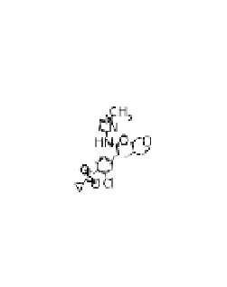 Cn1ccc(NC(=O)[C@H](CC2CCOCC2)c2ccc(S(=O)(=O)C3CC3)c(Cl)c2)n1